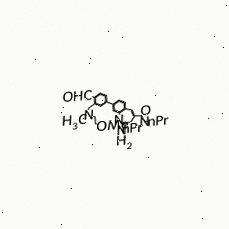 CCCN(CCC)C(=O)C1=Cc2ccc(-c3ccc(C=O)c(CN(C)CCOC)c3)cc2N=C(N)C1